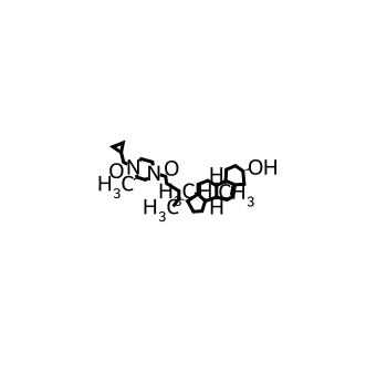 CC(CCC(=O)N1CCN(C(=O)C2CC2)[C@@H](C)C1)[C@H]1CC[C@H]2[C@@H]3CC=C4C[C@@H](O)CC[C@]4(C)[C@H]3CC[C@]12C